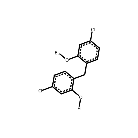 CCOc1cc(Cl)ccc1Cc1ccc(Cl)cc1OCC